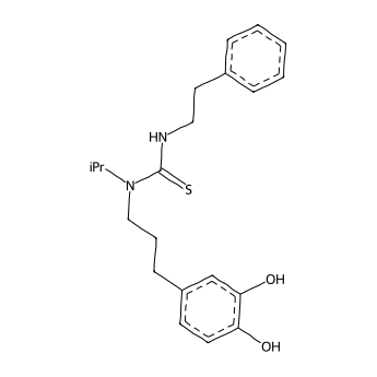 CC(C)N(CCCc1ccc(O)c(O)c1)C(=S)NCCc1ccccc1